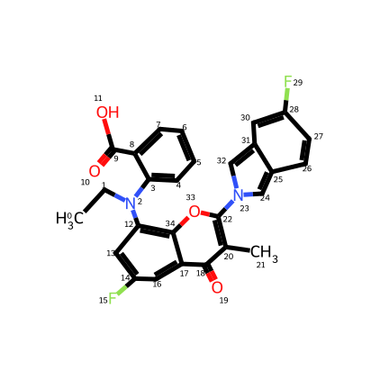 CCN(c1ccccc1C(=O)O)c1cc(F)cc2c(=O)c(C)c(-n3cc4ccc(F)cc4c3)oc12